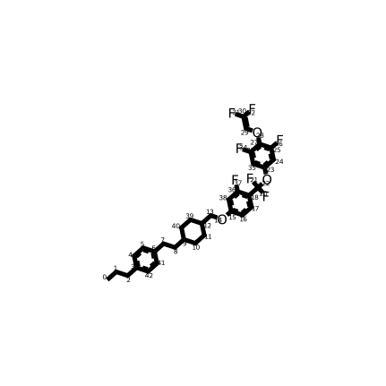 CCCc1ccc(CCC2CCC(COc3ccc(C(F)(F)Oc4cc(F)c(OC=C(F)F)c(F)c4)c(F)c3)CC2)cc1